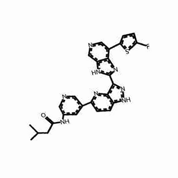 CC(C)CC(=O)Nc1cncc(-c2ccc3[nH]nc(-c4nc5c(-c6ccc(F)s6)cncc5[nH]4)c3n2)c1